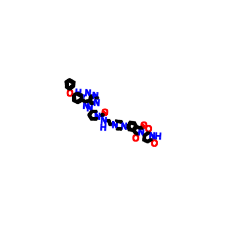 Nc1ncnc2c1c(-c1ccc(Oc3ccccc3)cc1)nn2[C@@H]1CCCN(C(=O)NCCN2CCN(c3ccc4c(c3)C(=O)N(C3CCC(=O)NC3=O)C4=O)CC2)C1